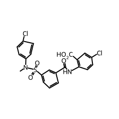 CN(c1ccc(Cl)cc1)S(=O)(=O)c1cccc(C(=O)Nc2ccc(Cl)cc2C(=O)O)c1